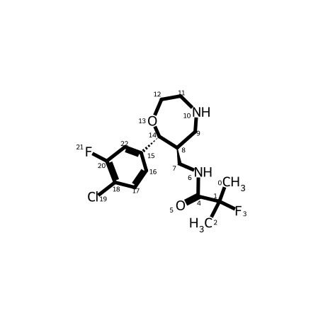 CC(C)(F)C(=O)NC[C@@H]1CNCCO[C@H]1c1ccc(Cl)c(F)c1